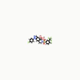 COC(=O)[C@]12Cc3cnn(-c4ccc(F)cc4)c3C=C1CCN(S(=O)(=O)c1ccc(F)c(C(F)(F)F)c1)C2